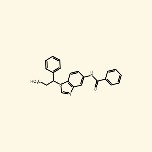 O=C(O)CC(c1ccccc1)n1cnc2cc(NC(=O)c3ccccc3)ccc21